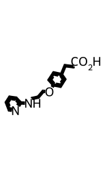 O=C(O)CCc1ccc(OCCCNc2ccccn2)cc1